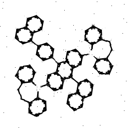 c1ccc2c(c1)CCc1ccccc1N2c1ccc2c(-c3cccc4ccccc34)c3cc(N4c5ccccc5CCc5ccccc54)ccc3c(-c3ccc(-c4cccc5ccccc45)cc3)c2c1